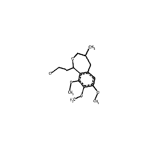 COc1cc2c(c(OC)c1OC)C(CCCl)OCC(C)C2